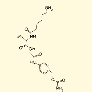 CC(C)C(NC(=O)CCCCCN)C(=O)NCC(=O)Nc1ccc(COC(N)=O)cc1